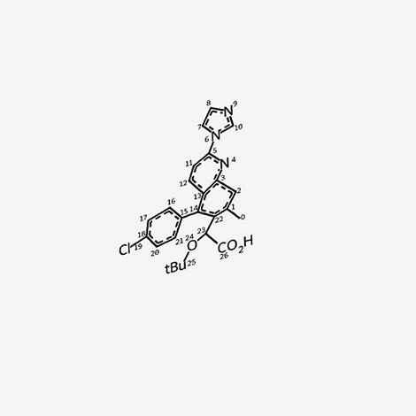 Cc1cc2nc(-n3ccnc3)ccc2c(-c2ccc(Cl)cc2)c1C(OC(C)(C)C)C(=O)O